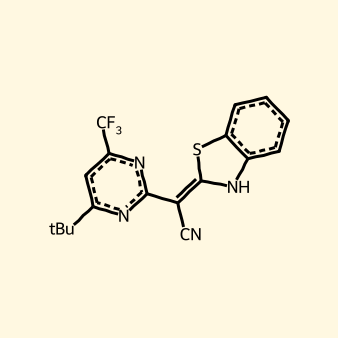 CC(C)(C)c1cc(C(F)(F)F)nc(/C(C#N)=C2/Nc3ccccc3S2)n1